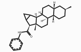 C[C@H]1CC[C@H]2[C@H](CC[C@@H]3[C@@H]2CC[C@]2(C)[C@@H](C(=O)Nc4ccccc4)C4CC4[C@@H]32)C1